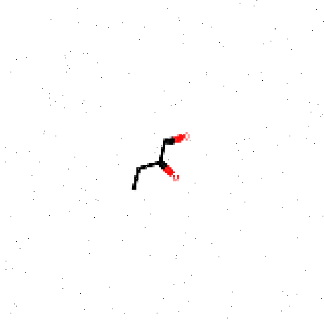 C[CH]C(=O)C=O